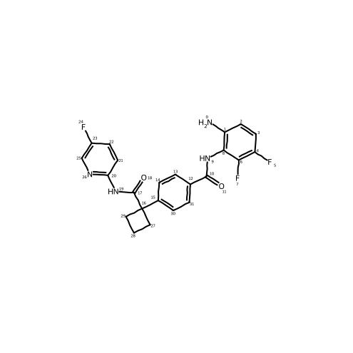 Nc1ccc(F)c(F)c1NC(=O)c1ccc(C2(C(=O)Nc3ccc(F)cn3)CCC2)cc1